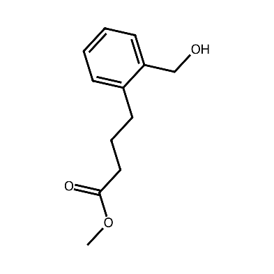 COC(=O)CCCc1ccccc1CO